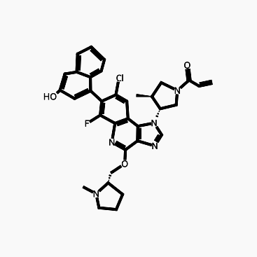 C=CC(=O)N1C[C@H](C)[C@@H](n2cnc3c(OC[C@@H]4CCCN4C)nc4c(F)c(-c5cc(O)cc6ccccc56)c(Cl)cc4c32)C1